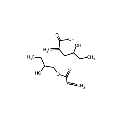 C=C(CC(O)CC)C(=O)O.C=CC(=O)OCC(O)CC